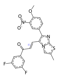 COc1ccc(-c2nc3sc(C)cn3c2/C=C/C(=O)c2cc(F)cc(F)c2)cc1[N+](=O)[O-]